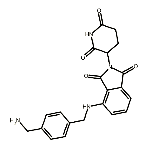 NCc1ccc(CNc2cccc3c2C(=O)N(C2CCC(=O)NC2=O)C3=O)cc1